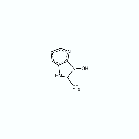 ON1c2ncccc2NC1C(F)(F)F